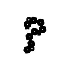 c1cc(Sc2cccc(-c3cccc(-c4ccc5oc6ccncc6c5c4)c3)c2)cc(-c2cccc(-c3ccc4oc5ccccc5c4c3)c2)c1